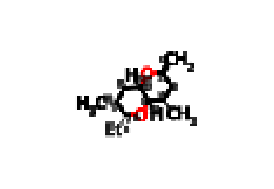 C=C1C[C@H](C)[C@@H]2O[C@H](CC)[C@H](C)C[C@@H]2O1